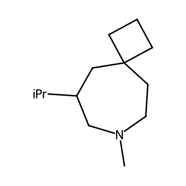 CC(C)C1CN(C)CCC2(CCC2)C1